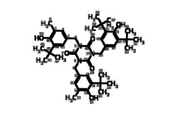 Cc1cc(Cn2c(=O)n(Cc3cc(C)c(O)c(C(C)(C)C)c3)c(=O)n(Cc3cc(C(C)(C)C)c(O)c(C(C)(C)C)c3)c2=O)cc(C(C)(C)C)c1O